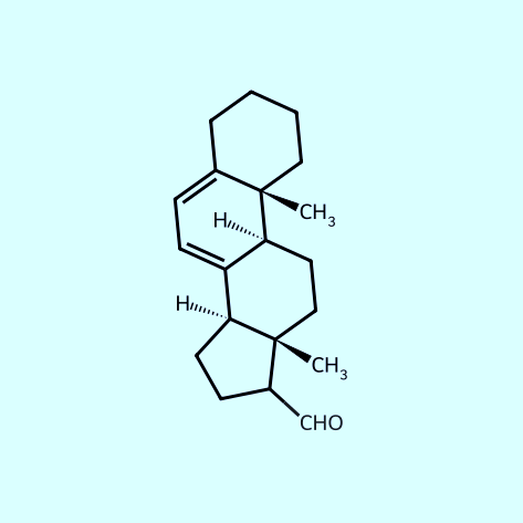 C[C@]12CCCCC1=CC=C1[C@@H]2CC[C@]2(C)C(C=O)CC[C@@H]12